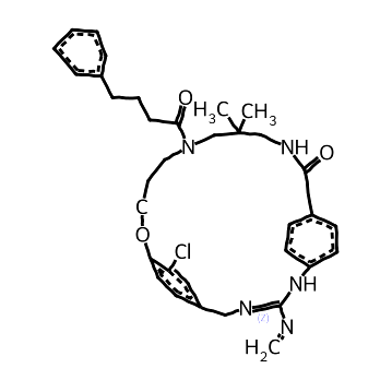 C=N/C1=N\Cc2ccc(c(Cl)c2)OCCCN(C(=O)CCCc2ccccc2)CC(C)(C)CNC(=O)c2ccc(cc2)N1